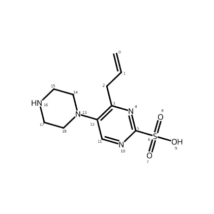 C=CCc1nc(S(=O)(=O)O)ncc1N1CCNCC1